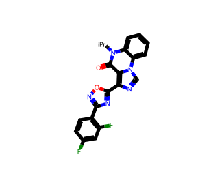 CC(C)n1c(=O)c2c(-c3nc(-c4ccc(F)cc4F)no3)ncn2c2ccccc21